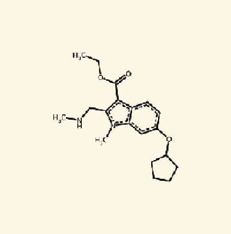 CCOC(=O)c1c(CNC)n(C)c2cc(OC3CCCC3)ccc12